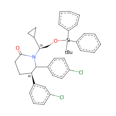 CC(C)(C)[Si](OC[C@H](C1CC1)N1C(=O)CC[C@H](c2cccc(Cl)c2)C1c1ccc(Cl)cc1)(c1ccccc1)c1ccccc1